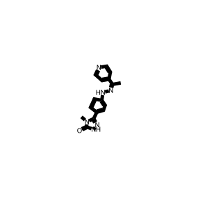 CC(=NNc1ccc(-c2n[nH]c(=O)n2C)cc1)c1ccncc1